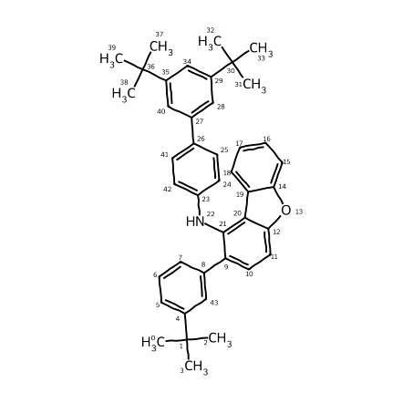 CC(C)(C)c1cccc(-c2ccc3oc4ccccc4c3c2Nc2ccc(-c3cc(C(C)(C)C)cc(C(C)(C)C)c3)cc2)c1